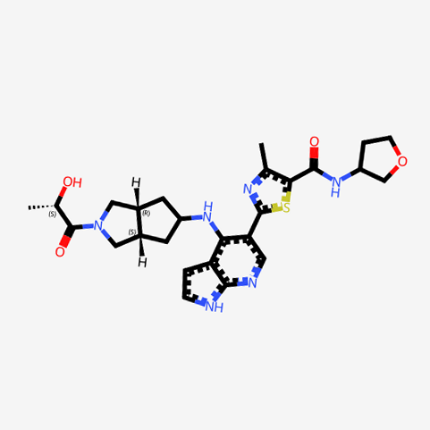 Cc1nc(-c2cnc3[nH]ccc3c2NC2C[C@@H]3CN(C(=O)[C@H](C)O)C[C@@H]3C2)sc1C(=O)NC1CCOC1